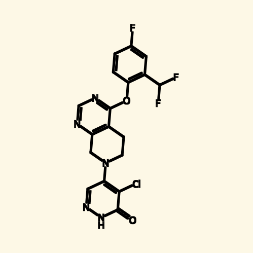 O=c1[nH]ncc(N2CCc3c(ncnc3Oc3ccc(F)cc3C(F)F)C2)c1Cl